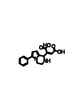 O=C(O)C=C(C(=O)O)C1NCCn2c(-c3ccccc3)ccc21